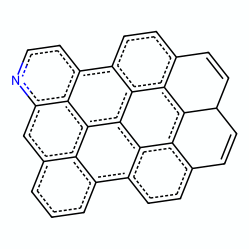 C1=CC2C=Cc3ccc4c5ccnc6cc7cccc8c9ccc1c1c2c3c4c(c19)c(c78)c65